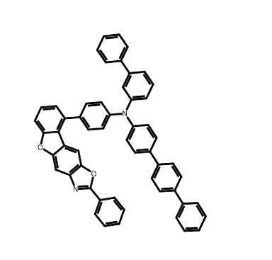 c1ccc(-c2ccc(-c3ccc(N(c4ccc(-c5cccc6oc7cc8nc(-c9ccccc9)oc8cc7c56)cc4)c4cccc(-c5ccccc5)c4)cc3)cc2)cc1